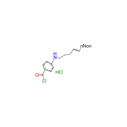 CCCCCCCCCC=CCCCNc1ccc(C(=O)Cl)cc1.Cl